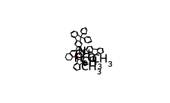 Cc1cc2c(cc1-c1cc3c(cc1N(c1ccc4c(c1)C(C)(C)c1ccccc1-4)c1ccc4c(c1)C(C)(C)c1ccccc1-4)C(c1ccccc1)(c1ccccc1)c1ccccc1-3)CCCC2